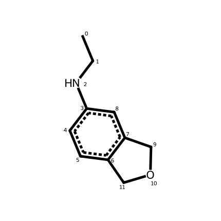 CCNc1ccc2c(c1)COC2